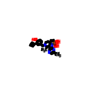 Cc1cncc(N2[C@]3(C=CS2(O)O)CCN(Cc2ccc(O)c(C4CCC4)c2)[C@@H](C)C3)n1